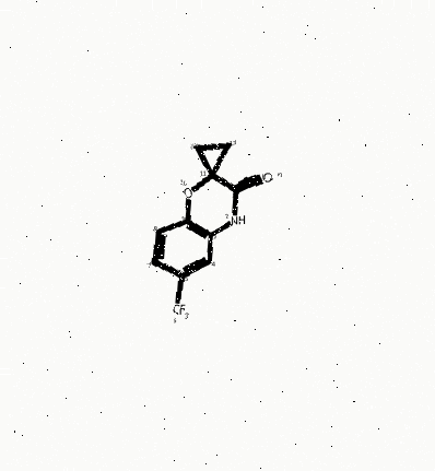 O=C1Nc2cc(C(F)(F)F)ccc2OC12CC2